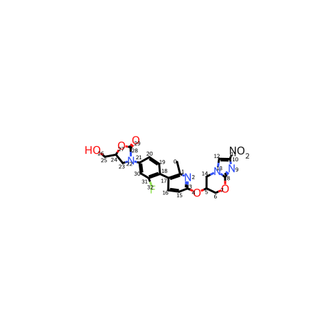 Cc1nc(OC2COc3nc([N+](=O)[O-])cn3C2)ccc1-c1ccc(N2CC(CO)OC2=O)cc1F